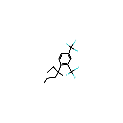 CCCC(C)(CC)c1ccc(C(F)(F)F)cc1C(F)(F)F